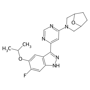 CC(C)Oc1cc2c(-c3cc(N4CC5CCC(C4)O5)ncn3)n[nH]c2cc1F